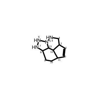 C1=CC2CNN3NNC4CCC1C2C43